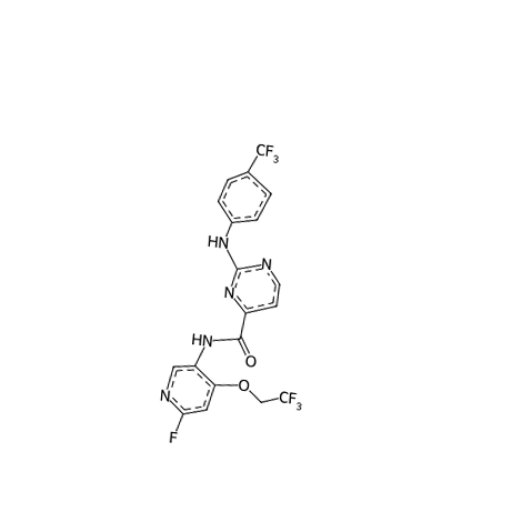 O=C(Nc1cnc(F)cc1OCC(F)(F)F)c1ccnc(Nc2ccc(C(F)(F)F)cc2)n1